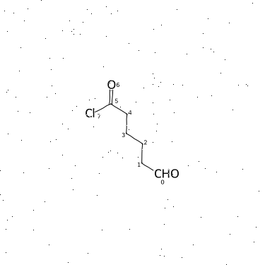 O=CCCCCC(=O)Cl